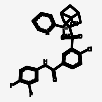 O=C(Nc1ccc(F)c(F)c1)c1ccc(Cl)c(S(=O)(=O)C2CC3CC(C2)C3(O)[C@H](O)c2ccccn2)c1